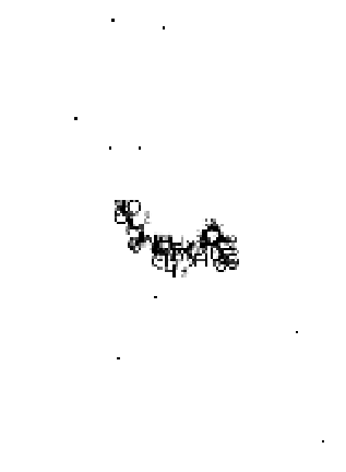 CC(C)(CNC(=O)CCCO[N+](=O)[O-])NCC(O)COc1cccc2c1OS(=O)(=O)CC2